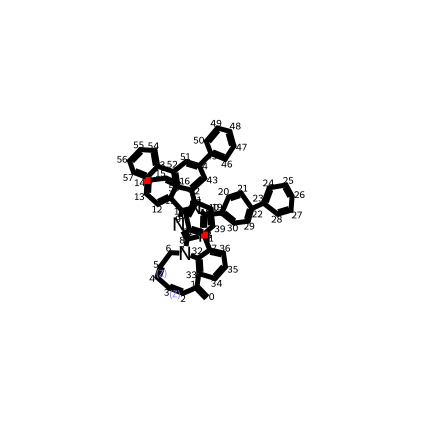 C=C1/C=C\C=C/CN(c2nc(-c3ccccc3)nc(-c3ccc(-c4ccccc4)cc3)n2)c2c1cccc2-c1ccc(-c2cc(-c3ccccc3)cc(-c3ccccc3)c2)cc1